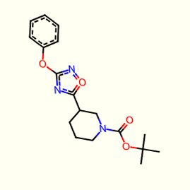 CC(C)(C)OC(=O)N1CCCC(c2nc(Oc3ccccc3)no2)C1